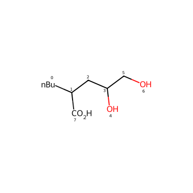 CCCCC(CC(O)CO)C(=O)O